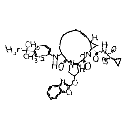 CC(C)(C)C1=CSC(N[C@H]2CCCCC/C=C\[C@@H]3C[C@@]3(C(=O)NS(=O)(=O)C3CC3)NC(=O)[C@@H]3C[C@@H](Oc4nc5ccccc5o4)CN3C2=O)=C=CC1